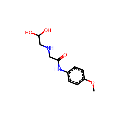 COc1ccc(NC(=O)CNCC(O)O)cc1